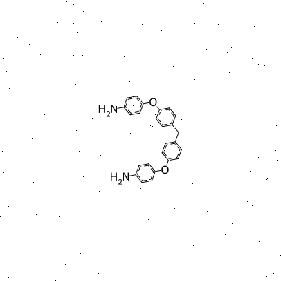 Nc1ccc(Oc2ccc(Cc3ccc(Oc4ccc(N)cc4)cc3)cc2)cc1